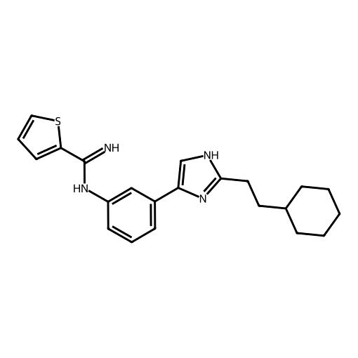 N=C(Nc1cccc(-c2c[nH]c(CCC3CCCCC3)n2)c1)c1cccs1